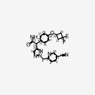 N#Cc1ccc(Cn2ncc(C(C(N)=O)c3ccc(OC4CC(F)(F)C4)cc3)n2)nc1